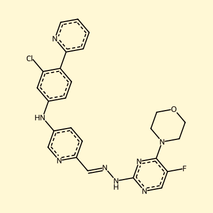 Fc1cnc(N/N=C/c2ccc(Nc3ccc(-c4ccccn4)c(Cl)c3)cn2)nc1N1CCOCC1